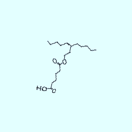 CCCCCC(CCCCC)CCOC(=O)CCCCC(=O)O